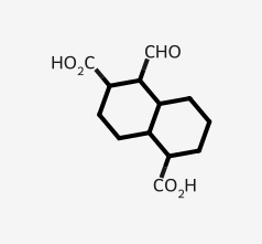 O=CC1C(C(=O)O)CCC2C(C(=O)O)CCCC12